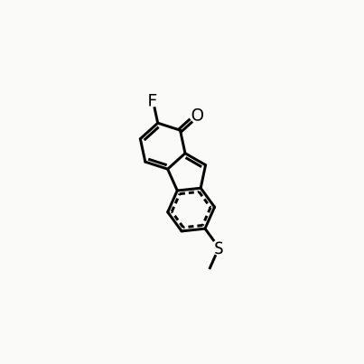 CSc1ccc2c(c1)C=C1C(=O)C(F)=CC=C12